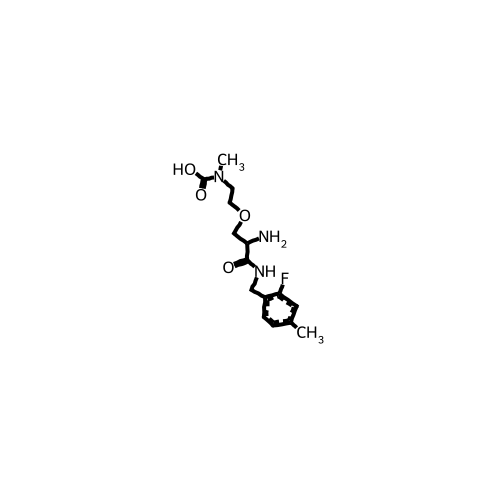 Cc1ccc(CNC(=O)C(N)COCCN(C)C(=O)O)c(F)c1